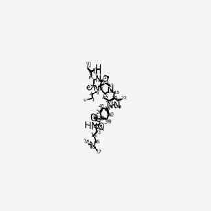 CCCCN1C(=O)[C@H](CC(C)C)NC(=O)C12CCN(Cc1c(C)nn(-c3ccc(S(=O)(=O)NCCCN(C)C)cc3)c1C)CC2